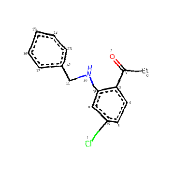 CCC(=O)c1ccc(Cl)cc1NCc1ccccc1